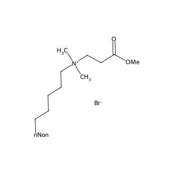 CCCCCCCCCCCCCC[N+](C)(C)CCC(=O)OC.[Br-]